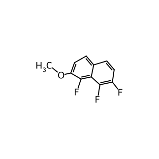 COc1ccc2ccc(F)c(F)c2c1F